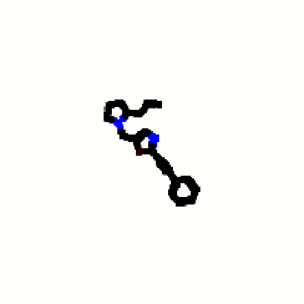 COCC1CCCN1Cc1cnc(C#Cc2ccccc2)s1